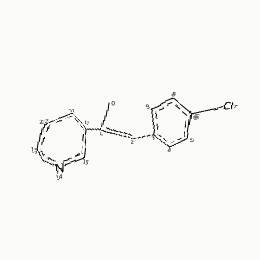 C/C(=C\c1ccc(Cl)cc1)c1cccnc1